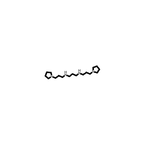 C(CNCCCN1CCCC1)CNCCCN1CCCC1